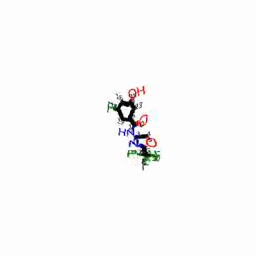 O=C(Nc1coc(C(F)(F)F)n1)c1cc(O)cc(F)c1